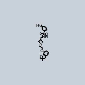 CC1(C)Cc2cccc(OCCN3CC(CNS(=O)(=O)c4cccc(O)c4)C3)c2O1